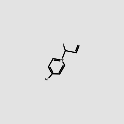 C=CC(I)[n+]1ccc(C(C)=O)cc1